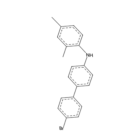 Cc1ccc(Nc2ccc(-c3ccc(Br)cc3)cc2)c(C)c1